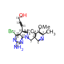 COc1c(C)ncc(Cn2cc(C#CCO)c3c(Br)nc(N)nc32)c1C